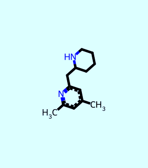 Cc1cc(C)nc(CC2CCCCN2)c1